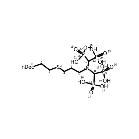 CCCCCCCCCCCCSCCCN(C(P(=O)(O)O)P(=O)(O)O)C(P(=O)(O)O)P(=O)(O)O